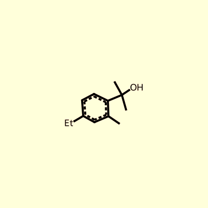 CCc1ccc(C(C)(C)O)c(C)c1